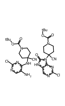 CC(C)(C)OC(=O)N1CCC(C#N)(Nc2nc(Cl)ncc2N)CC1.CC(C)(C)OC(=O)N1CCC(C#N)(n2c(=O)[nH]c3cnc(Cl)nc32)CC1